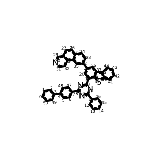 c1ccc(-c2ccc(-c3nc(-c4ccccc4)nc(-c4cc(-c5ccc6ccc7cnccc7c6c5)cc5c4sc4ccccc45)n3)cc2)cc1